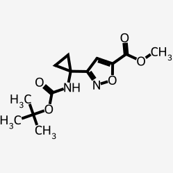 COC(=O)c1cc(C2(NC(=O)OC(C)(C)C)CC2)no1